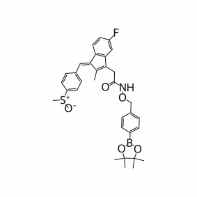 CC1=C(CC(=O)NOCc2ccc(B3OC(C)(C)C(C)(C)O3)cc2)c2cc(F)ccc2C1=Cc1ccc([S+](C)[O-])cc1